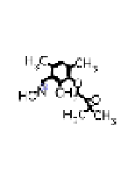 Cc1cc(C)c(OCC2OC2(C)C)c(C)c1/C=N/O